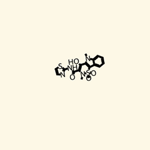 CN1C(C(=O)Nc2nccs2)=C(O)c2c(c3ccccc3n2C)S1(=O)=O